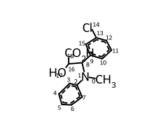 CN(c1ccccc1)C(c1cccc(Cl)c1)C(O)C(=O)O